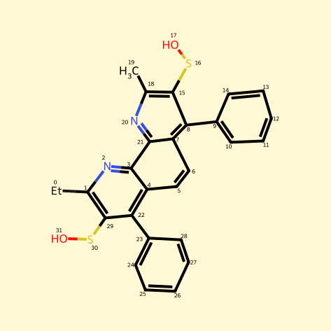 CCc1nc2c(ccc3c(-c4ccccc4)c(SO)c(C)nc32)c(-c2ccccc2)c1SO